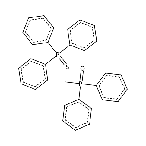 CP(=O)(c1ccccc1)c1ccccc1.S=P(c1ccccc1)(c1ccccc1)c1ccccc1